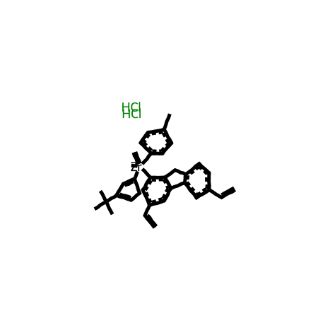 C=Cc1ccc2c(c1)-c1cc(C=C)c[c]([Zr](=[CH2])([CH3])([C]3=CC(C(C)(C)C)=CC3)[c]3ccc(C)cc3)c1C2.Cl.Cl